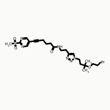 CC(C)CCOC(C)(C)CCn1cc(CCNC(=O)CCCC#Cc2cnc(S(C)(=O)=O)nc2)nn1